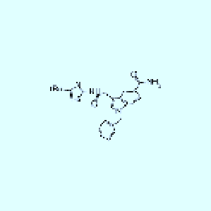 CC(C)(C)c1csc(NC(=O)Cc2cn(Cc3ccccc3)c3ccc(C(N)=O)cc23)n1